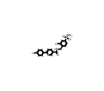 NS(=O)(=O)c1ccc(CNC(=O)c2ccc(-c3ccc(I)cc3)nc2)c(Cl)c1